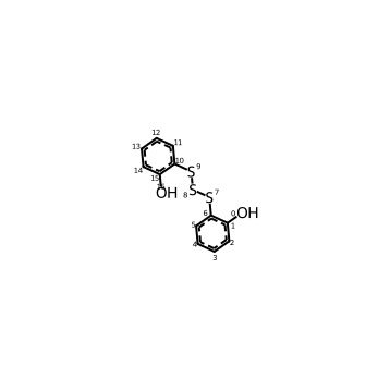 Oc1ccccc1SSSc1ccccc1O